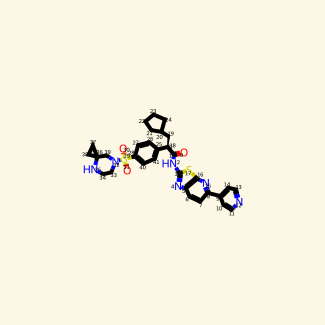 O=C(Nc1nc2ccc(-c3ccncc3)nc2s1)[C@H](CC1CCCC1)c1ccc(S(=O)(=O)N2CCNC3(CC3)C2)cc1